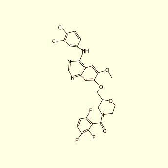 COc1cc2c(Nc3ccc(Cl)c(Cl)c3)ncnc2cc1OCC1CN(C(=O)c2c(F)ccc(F)c2F)CCO1